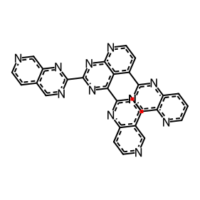 c1cnc2cnc(-c3ccnc4nc(-c5ncc6ccncc6n5)nc(-c5ncc6cnccc6n5)c34)nc2c1